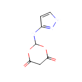 O=C1CC(=O)OC(Nc2cc[nH]n2)O1